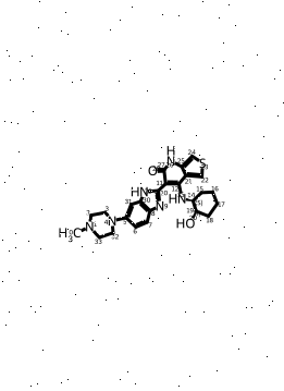 CN1CCN(c2ccc3nc(-c4c(N[C@H]5CCCC[C@H]5O)c5cscc5[nH]c4=O)[nH]c3c2)CC1